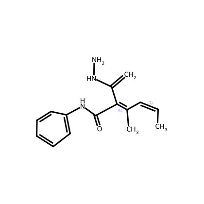 C=C(NN)/C(C(=O)Nc1ccccc1)=C(C)\C=C/C